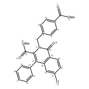 COC(=O)c1ccc(Cn2c(C(=O)OC)c(-c3ccccc3)c3cc(Cl)ccc3c2=O)cc1